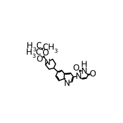 CC(C)(C)OC(=O)N1CCC(c2ccc3ncc(-n4ccc(=O)[nH]c4=O)cc3c2)CC1